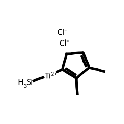 CC1=CC[C]([Ti+2][SiH3])=C1C.[Cl-].[Cl-]